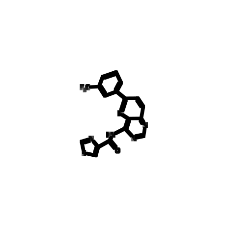 O=C(Nc1ncnc2ccc(-c3cccc(C(F)(F)F)c3)nc12)c1cscn1